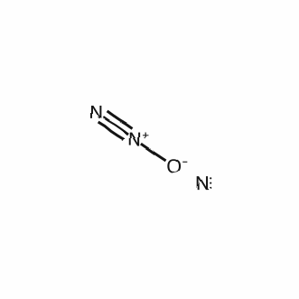 N#[N+][O-].[N]